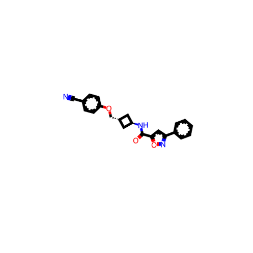 N#Cc1ccc(OC[C@H]2C[C@H](NC(=O)c3cc(-c4ccccc4)no3)C2)cc1